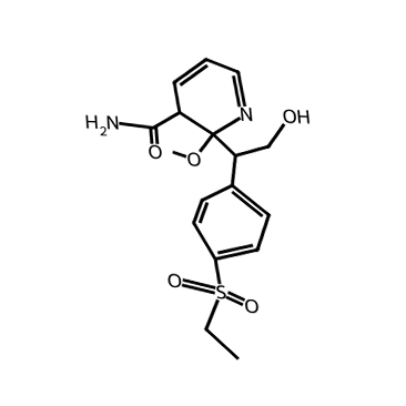 CCS(=O)(=O)c1ccc(C(CO)C2(OC)N=CC=CC2C(N)=O)cc1